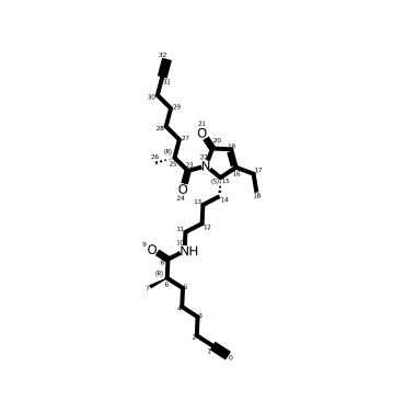 C#CCCCC[C@@H](C)C(=O)NCCCC[C@H]1C(CC)=CC(=O)N1C(=O)[C@H](C)CCCCC#C